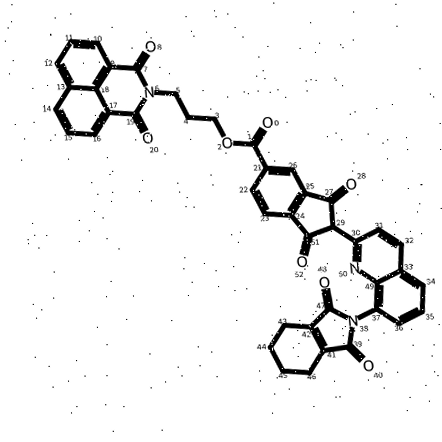 O=C(OCCCN1C(=O)c2cccc3cccc(c23)C1=O)c1ccc2c(c1)C(=O)C(c1ccc3cccc(N4C(=O)C5=C(CCCC5)C4=O)c3n1)C2=O